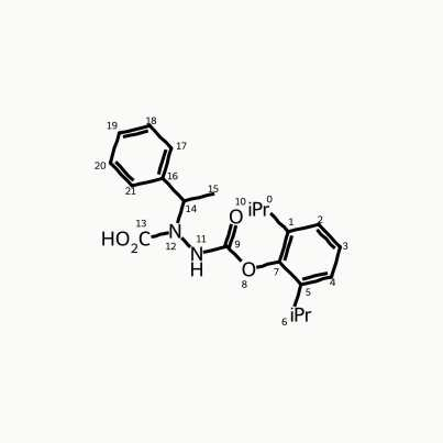 CC(C)c1cccc(C(C)C)c1OC(=O)NN(C(=O)O)C(C)c1ccccc1